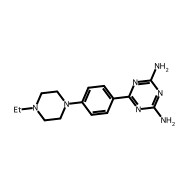 CCN1CCN(c2ccc(-c3nc(N)nc(N)n3)cc2)CC1